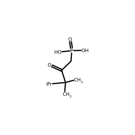 CC(C)C(C)(C)C(=O)CP(=O)(O)O